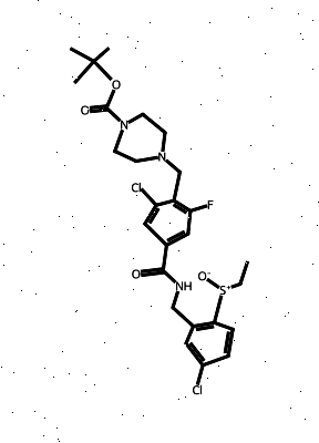 CC[S+]([O-])c1ccc(Cl)cc1CNC(=O)c1cc(F)c(CN2CCN(C(=O)OC(C)(C)C)CC2)c(Cl)c1